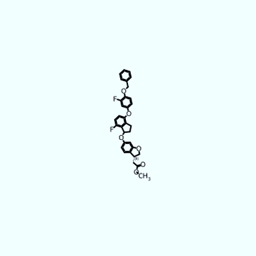 COC(=O)C[C@H]1COc2cc(OC3CCc4c(Oc5ccc(OCc6ccccc6)c(F)c5)ccc(F)c43)ccc21